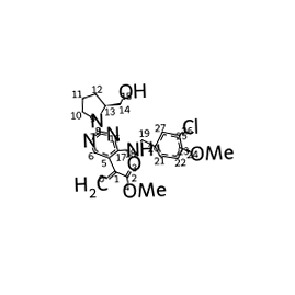 C=C(C(=O)OC)c1cnc(N2CCC[C@H]2CO)nc1NCc1ccc(OC)c(Cl)c1